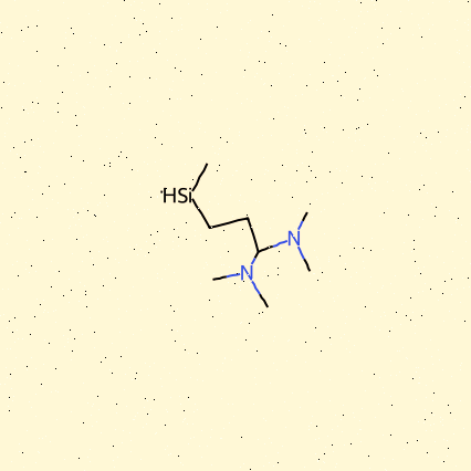 CN(C)C(CC[SiH](C)C)N(C)C